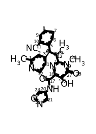 Cc1cc([C@@H](c2ccccc2C#N)[C@@H](C)c2nc(C(=O)Nc3cnoc3)c(O)c(=O)n2C)ccn1